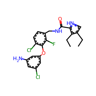 CCc1c[nH]c(C(=O)NCc2ccc(Cl)c(Oc3cc(N)cc(Cl)c3)c2F)c1CC